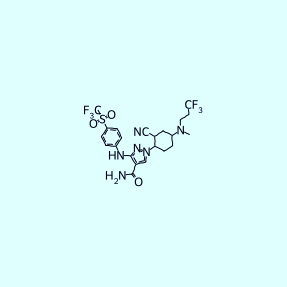 CN(CCC(F)(F)F)C1CCC(n2cc(C(N)=O)c(Nc3ccc(S(=O)(=O)C(F)(F)F)cc3)n2)C(C#N)C1